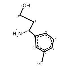 N[C@H](CCO)c1cccc(F)c1